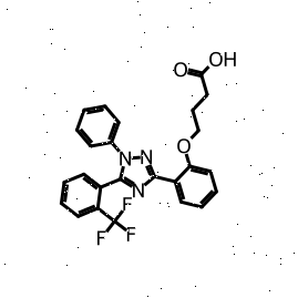 O=C(O)CCCOc1ccccc1-c1nc(-c2ccccc2C(F)(F)F)n(-c2ccccc2)n1